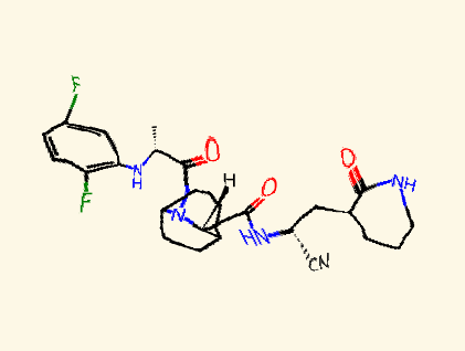 C[C@@H](Nc1cc(F)ccc1F)C(=O)N1C2CCC(CC2)[C@H]1C(=O)N[C@@H](C#N)C[C@@H]1CCCNC1=O